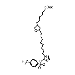 CCCCCCCCCCCCCCCCC1COC(COCCCCCCN2C=CSC2OS(=O)(=O)c2ccc(C)cc2)C1